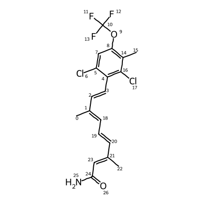 CC(C=Cc1c(Cl)cc(OC(F)(F)F)c(C)c1Cl)=CC=CC(C)=CC(N)=O